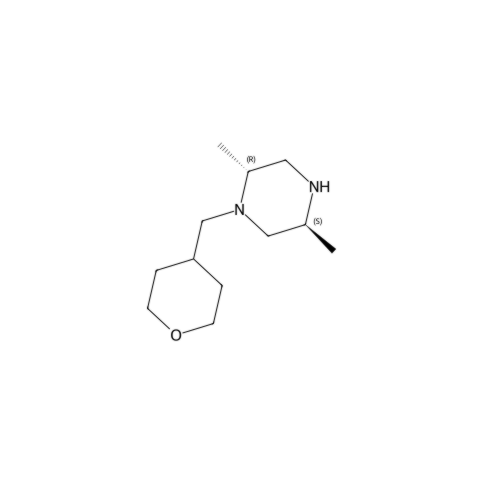 C[C@@H]1CN[C@@H](C)CN1CC1CCOCC1